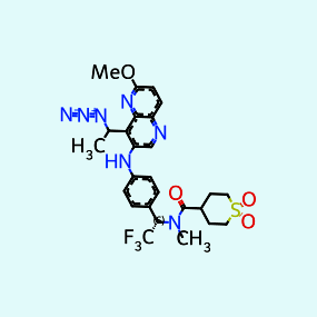 COc1ccc2ncc(Nc3ccc([C@H](N(C)C(=O)C4CCS(=O)(=O)CC4)C(F)(F)F)cc3)c(C(C)N=[N+]=[N-])c2n1